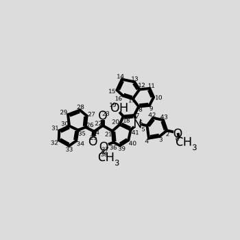 COc1ccc(-n2c(-c3cccc4ccccc34)c(O)c3c(C(=O)C(=O)c4cccc5ccccc45)c(OC)ccc32)cc1